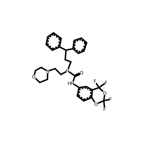 O=C(Nc1ccc2c(c1)C(F)(F)OC(F)(F)O2)N(CCC(c1ccccc1)c1ccccc1)CCN1CCOCC1